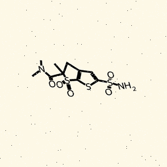 CN(C)C(=O)C1(C)Cc2cc(S(N)(=O)=O)sc2S1(=O)=O